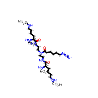 [N-]=[N+]=NCCCCCC(=O)N(CCNC(=O)C(CCCCNC(=O)O)NC(=O)O)CCNC(=O)C(CCCCNC(=O)O)NC(=O)O